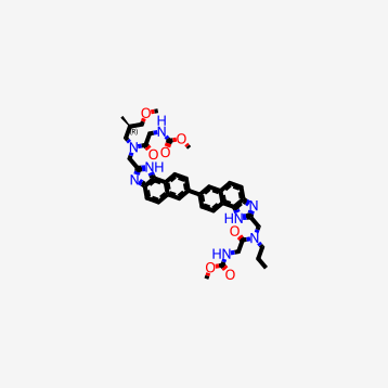 CCCN(Cc1nc2ccc3cc(-c4ccc5c(ccc6nc(CN(C[C@@H](C)COC)C(=O)CNC(=O)OC)[nH]c65)c4)ccc3c2[nH]1)C(=O)CNC(=O)OC